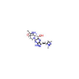 C[C@@H]1OCC2(CCN(c3nc4[nH]nc(C#Cc5ccnn5C)c4nc3CO)CC2)[C@@H]1N